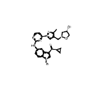 Cc1nn(-c2ccnc(Nc3ccc4c(c3)c(C(=O)C3CC3)cn4C(C)C)n2)cc1CN1C[C@H](O)CO1